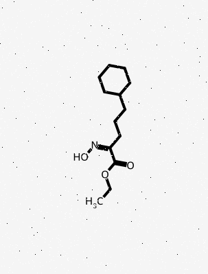 CCOC(=O)C(CCCC1CCCCC1)=NO